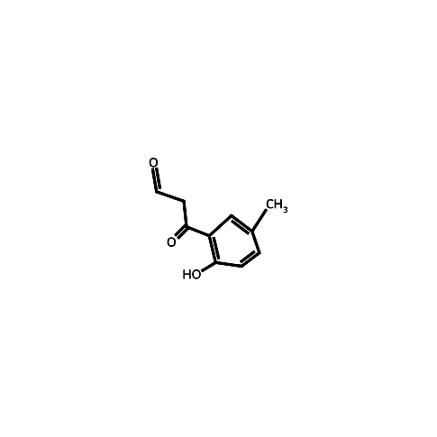 Cc1ccc(O)c(C(=O)CC=O)c1